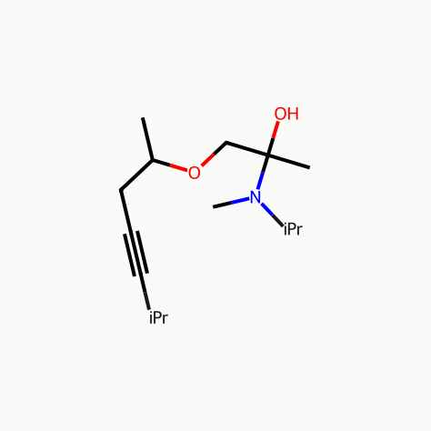 CC(C)C#CCC(C)OCC(C)(O)N(C)C(C)C